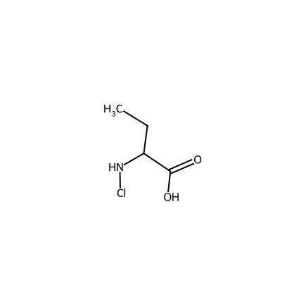 CCC(NCl)C(=O)O